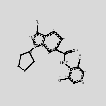 CCc1nn(C2CCCC2)c2cc(C(=O)Nc3c(Cl)cncc3Cl)ccc12